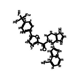 O=C(c1nnc(-c2ccc(C(F)(F)F)cn2)o1)N1CCc2[nH]cnc2[C@@H]1c1cc2c(F)cccn2n1